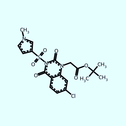 Cn1ccc(S(=O)(=O)n2c(=O)c3ccc(Cl)cc3n(CC(=O)OC(C)(C)C)c2=O)c1